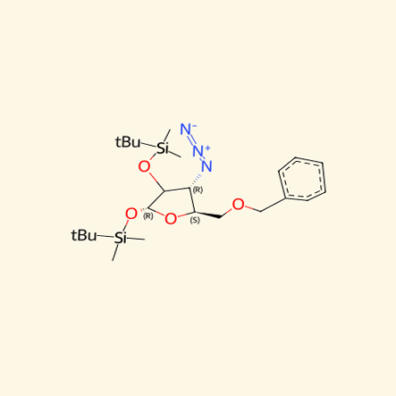 CC(C)(C)[Si](C)(C)OC1[C@@H](O[Si](C)(C)C(C)(C)C)O[C@H](COCc2ccccc2)[C@H]1N=[N+]=[N-]